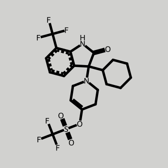 O=C1Nc2c(C(F)(F)F)cccc2C1(C1CCCCC1)N1CC=C(OS(=O)(=O)C(F)(F)F)CC1